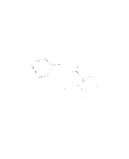 O=C(OCc1ccccc1)[C@H]1CCC[N+]1(CI)C(=O)[O-]